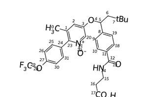 Cc1cc(OC(CC(C)(C)C)c2ccc(C(=O)NCCC(=O)O)cc2)c[n+]([O-])c1-c1ccc(OC(F)(F)F)cc1